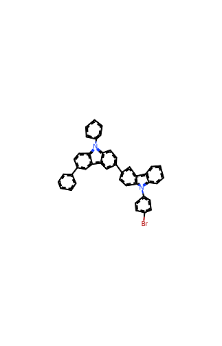 Brc1ccc(-n2c3ccccc3c3cc(-c4ccc5c(c4)c4cc(-c6ccccc6)ccc4n5-c4ccccc4)ccc32)cc1